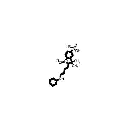 CC[N+]1=C(/C=C/C=C/Nc2ccccc2)C(C)(C)c2cc(P(=O)(O)O)ccc21.[Cl-]